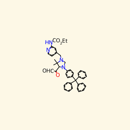 CCOC(=O)Nc1cc(CN2CN(c3ccc(C(c4ccccc4)(c4ccccc4)c4ccccc4)cc3)C(C(=O)C=O)C2(C)C)ccn1